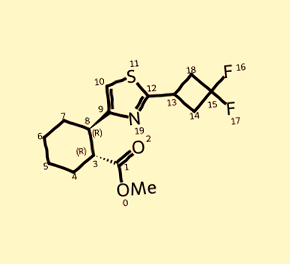 COC(=O)[C@@H]1CCCC[C@H]1c1csc(C2CC(F)(F)C2)n1